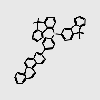 CC1(C)c2ccccc2-c2cc(N(c3ccc(-c4ccc5c(ccc6c7ccccc7ccc56)c4)cc3)c3cccc4c3-c3ccccc3C4(C)C)ccc21